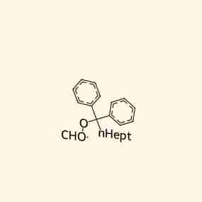 CCCCCCCC(O[C]=O)(c1ccccc1)c1ccccc1